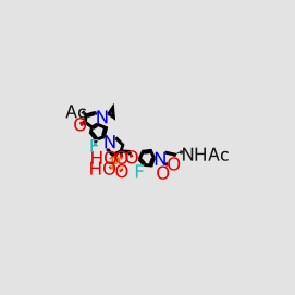 CC(=O)NC[C@H]1CN(c2ccc(OCC3(OP(=O)(O)O)CCN(c4cc5c(cc4F)c(=O)c(C(C)=O)cn5C4CC4)CC3)c(F)c2)C(=O)O1